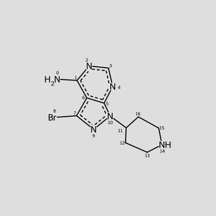 Nc1ncnc2c1c(Br)nn2C1CCNCC1